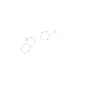 NC(=O)c1ccc(-c2cc(=O)c3cccc(CC(=O)O)c3o2)cc1